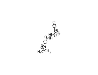 CC(C)c1nc([C@H]2CC[C@H](C(=O)NCCNC(=O)c3cn(-c4ccc(Cl)cc4)nc3C(F)(F)F)CC2)no1